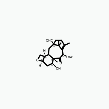 CC(=O)O[C@H]1C(=O)[C@@]2(C)C(C[C@]3(C=O)CCC(C)=C1C3(C)C)[C@@H]1CO[C@@H]1C[C@@H]2O